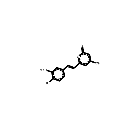 COc1cc(C=Cc2cc(O)cc(=O)o2)ccc1O